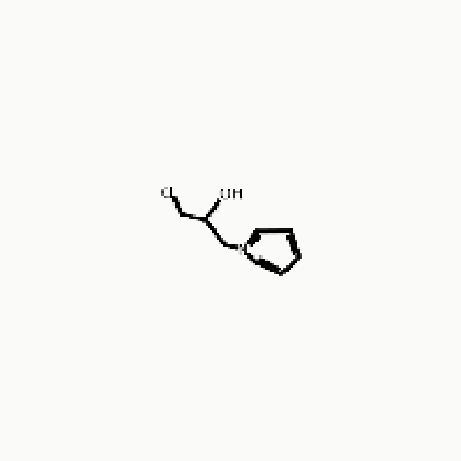 OC(CCl)C[n+]1ccccc1